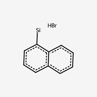 Br.[Si]c1cccc2ccccc12